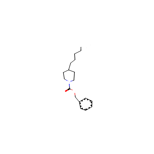 CCOC(=O)CCCCC1CCN(C(=O)OCc2ccccc2)CC1